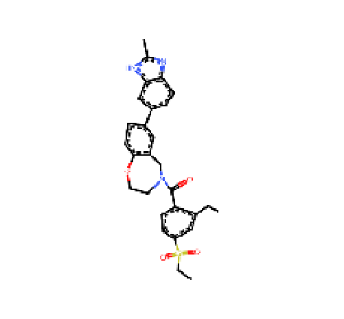 CCc1cc(S(=O)(=O)CC)ccc1C(=O)N1CCOc2ccc(-c3ccc4nc(C)[nH]c4c3)cc2C1